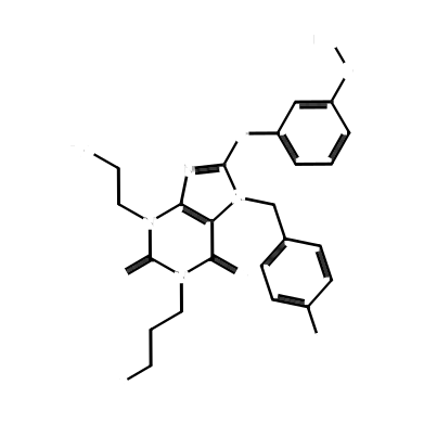 O=c1c2c(nc(Oc3cccc(OC(F)(F)F)c3)n2Cc2ccc(F)cc2)n(CCC(F)(F)F)c(=O)n1CCCO